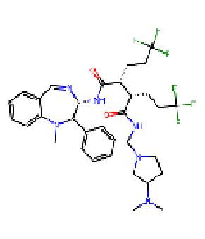 CN(C)C1CCN(CNC(=O)[C@@H](CCC(F)(F)F)[C@@H](CCC(F)(F)F)C(=O)N[C@H]2N=Cc3ccccc3N(C)C2c2ccccc2)C1